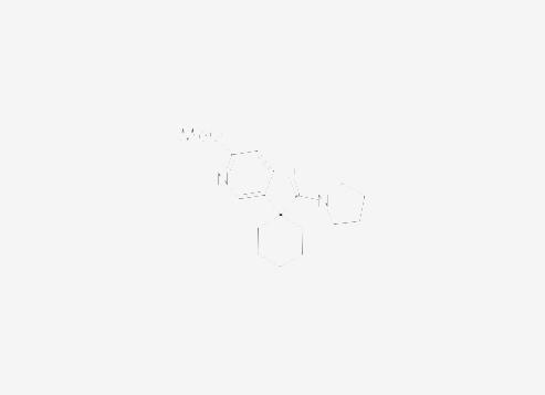 COc1ccc(C2(C(=O)N3CCCC3)CCCCC2)cn1